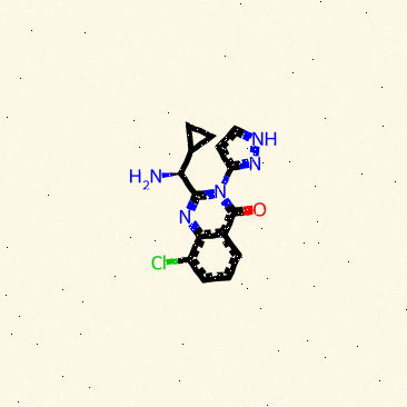 N[C@H](c1nc2c(Cl)cccc2c(=O)n1-c1cc[nH]n1)C1CC1